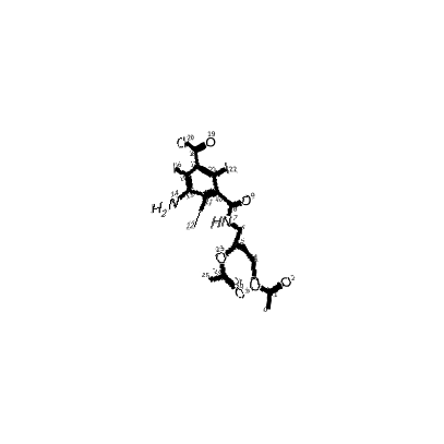 CC(=O)OCC(CNC(=O)c1c(I)c(N)c(I)c(C(=O)Cl)c1I)OC(C)=O